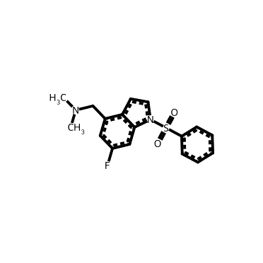 CN(C)Cc1cc(F)cc2c1ccn2S(=O)(=O)c1ccccc1